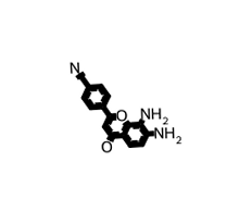 N#Cc1ccc(-c2cc(=O)c3ccc(N)c(N)c3o2)cc1